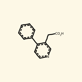 O=C(O)Cc1cnccc1-c1ccccc1